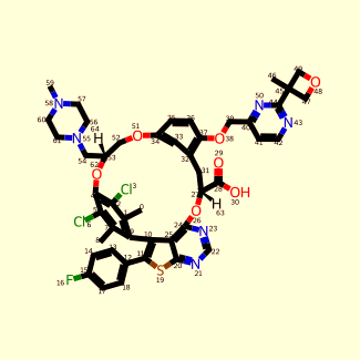 Cc1c(Cl)c2c(Cl)c(C)c1-c1c(-c3ccc(F)cc3)sc3ncnc(c13)O[C@@H](C(=O)O)Cc1cc(ccc1OCc1ccnc(C3(C)COC3)n1)OC[C@@H](CN1CCN(C)CC1)O2